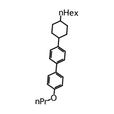 CCCCCCC1CCC(c2ccc(-c3ccc(OCCC)cc3)cc2)CC1